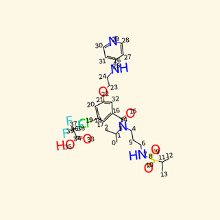 CC(C)N(CCCNS(=O)(=O)C(C)C)C(=O)c1cc(Cl)cc(OCCNc2ccncc2)c1.O=C(O)C(F)(F)F